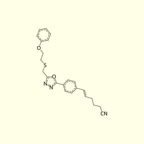 N#CCCCC=Cc1ccc(-c2nnc(CSCCOc3ccccc3)o2)cc1